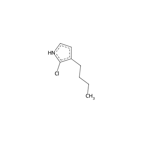 CCCCc1cc[nH]c1Cl